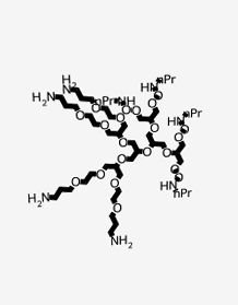 CCCNOOCC(COONCCC)OCC(COC(COONCCC)COONCCC)OC(COC(COCCOCCCN)COCCOCCCN)COC(COCCOCCCN)COCCOCCCN